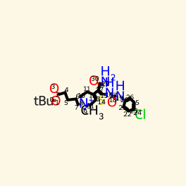 CC(C)(C)OC(=O)CCCC[N+]1(C)CCc2c(sc(NC(=O)Nc3ccc(Cl)cc3)c2C(N)=O)C1